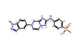 Cn1ncc2cc(N3C=Cn4nc(Nc5ccc(S(C)(=O)=O)cc5)nc4C3)ccc21